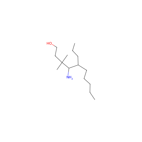 CCCCCC(CCC)C(N)C(C)(C)CCO